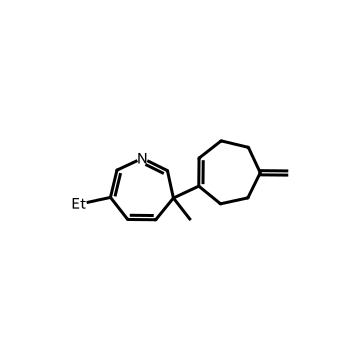 C=C1CCC=C(C2(C)C=CC(CC)=CN=C2)CC1